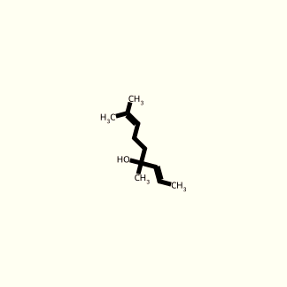 CC=CC(C)(O)CCC=C(C)C